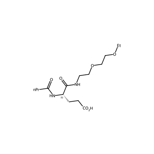 CCCC(=O)N[C@@H](CCC(=O)O)C(=O)NCCOCCOCC